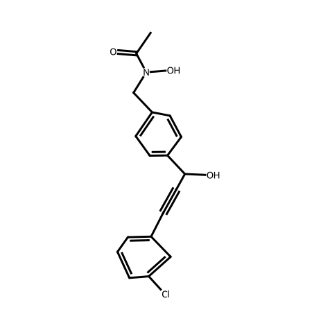 CC(=O)N(O)Cc1ccc(C(O)C#Cc2cccc(Cl)c2)cc1